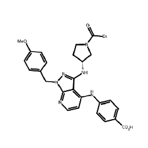 CCC(=O)N1CC[C@@H](Nc2nn(Cc3ccc(OC)cc3)c3nccc(Nc4ccc(C(=O)O)cc4)c23)C1